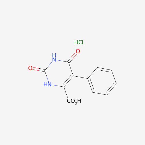 Cl.O=C(O)c1[nH]c(=O)[nH]c(=O)c1-c1ccccc1